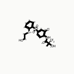 C[C@@](O)(C(=O)Nc1ccc(S(=O)(=O)c2ccccc2SCCO)cc1Cl)C(F)(F)F